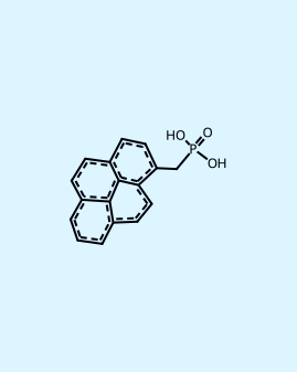 O=P(O)(O)Cc1ccc2ccc3cccc4ccc1c2c34